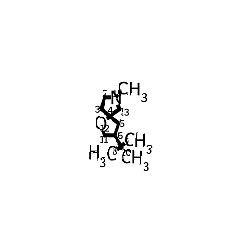 CN1CCC2(CC(C(C)(C)C)CO2)C1